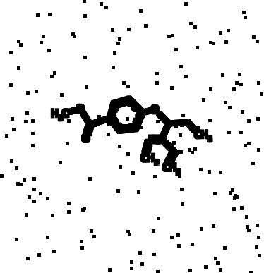 C=C[SiH](C=C)C(CC)Oc1ccc(C(=O)OC)cc1